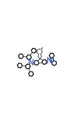 CCCCCC1(CCCCC)c2cc(N(c3cc(-c4ccccc4)cc(-c4ccccc4)c3)c3cc(-c4ccccc4)cc(-c4ccccc4)c3)ccc2-c2ccc(-n3c4ccccc4c4ccccc43)cc21